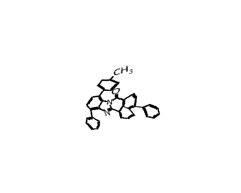 CC1C=CC(c2ccc(-c3ccccc3)c3nc4c5cccc6c(-c7ccccc7)ccc(c(=O)n4c23)c65)=CC1